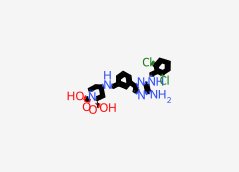 Nc1ncc(-c2cccc(CNC3CCN(C(=O)O)[C@@H](C(=O)O)C3)c2)nc1NCc1c(Cl)cccc1Cl